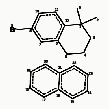 CC1(C)CCCc2cc(Br)ccc21.c1ccc2ccccc2c1